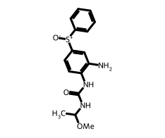 COC(C)NC(=O)Nc1ccc([S+]([O-])c2ccccc2)cc1N